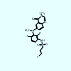 CN(c1ccc2ncn(C)c(=O)c2c1)c1c(F)ccc(NS(=O)(=O)CCCF)c1F